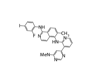 CNc1cc(-c2cccnc2Nc2c(C)ccc3c(Nc4ccc(I)cc4F)nccc23)ncn1